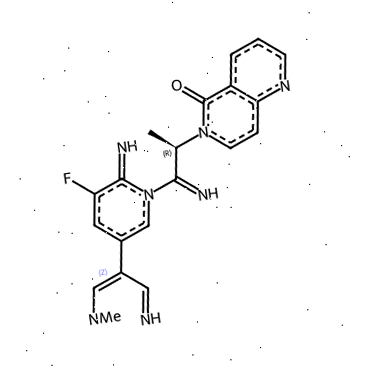 CN/C=C(\C=N)c1cc(F)c(=N)n(C(=N)[C@@H](C)n2ccc3ncccc3c2=O)c1